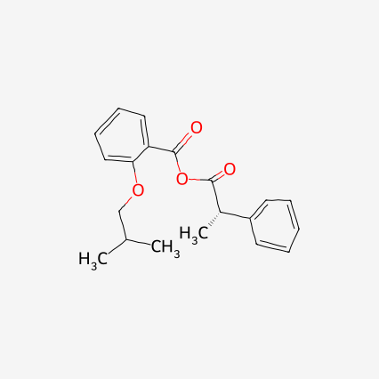 CC(C)COc1ccccc1C(=O)OC(=O)[C@@H](C)c1ccccc1